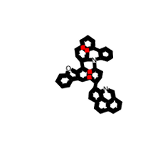 c1ccc(-c2ccccc2N(c2ccc(-c3ccc4ccc5cccc6cnc3c4c56)cc2)c2ccccc2-c2cccc3c2oc2ccccc23)cc1